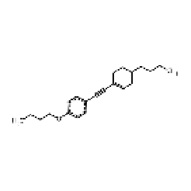 CCCCOc1ccc(C#CC2=CCC(CCCC)CC2)cc1